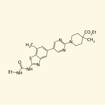 CCNC(=O)Nc1nc2cc(-c3cnc(N4CCC(C)(C(=O)OCC)CC4)nc3)cc(C)c2s1